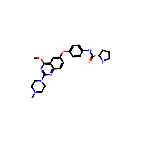 COc1nc(N2CCN(C)CC2)nc2ccc(Oc3ccc(NC(=O)[C@@H]4CCCN4)cc3)cc12